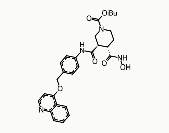 CC(C)COC(=O)N1CC[C@H](C(=O)NO)[C@@H](C(=O)Nc2ccc(COc3ccnc4ccccc34)cc2)C1